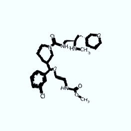 CN[C@@H](CNC(=O)N1CCCC(C(OCCNC(=O)OC)c2cccc(Cl)c2)C1)C[C@H]1CCCOC1